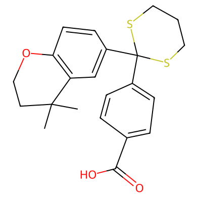 CC1(C)CCOc2ccc(C3(c4ccc(C(=O)O)cc4)SCCCS3)cc21